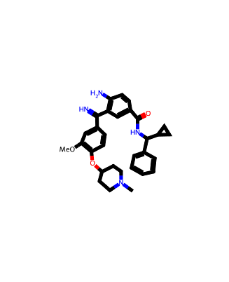 COc1cc(C(=N)c2cc(C(=O)NC(c3ccccc3)C3CC3)ccc2N)ccc1OC1CCN(C)CC1